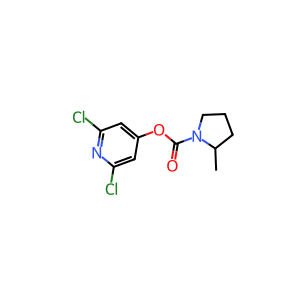 CC1CCCN1C(=O)Oc1cc(Cl)nc(Cl)c1